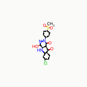 CS(=O)(=O)c1ccc(-n2nc(O)c3[nH]c4cc(Cl)ccc4c(=O)c3c2=O)cc1